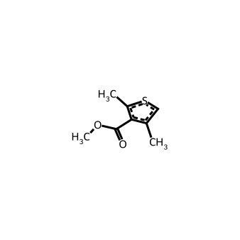 COC(=O)c1c(C)csc1C